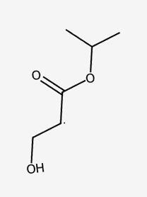 CC(C)OC(=O)[CH]CO